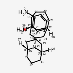 Nc1cccc([C@H]2C[C@H]3CCC[C@@H](C2)N3[C@@H]2C[C@@H]3CCCC[C@@H](C3)C2)c1N